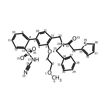 COCCOc1cc(-c2ccccc2S(=O)(=O)NC#N)ccc1CN(Cc1ccccc1)C(=O)Cc1cccs1